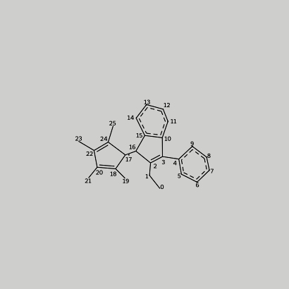 CCC1=C(c2ccccc2)c2ccccc2C1[C]1C(C)=C(C)C(C)=C1C